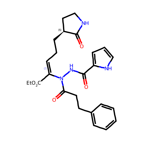 CCOC(=O)/C(=C/CC[C@H]1CCNC1=O)N(NC(=O)c1ccc[nH]1)C(=O)CCc1ccccc1